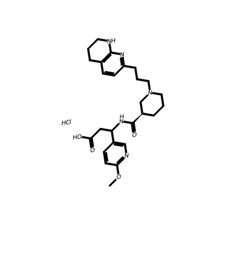 COc1ccc(C(CC(=O)O)NC(=O)[C@@H]2CCCN(CCCc3ccc4c(n3)NCCC4)C2)cn1.Cl